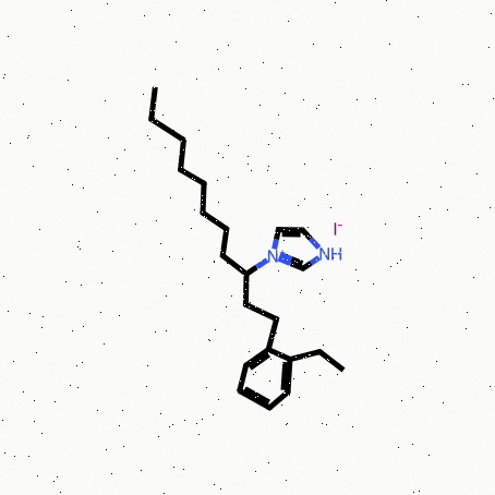 CCCCCCCCC(CCc1ccccc1CC)[n+]1cc[nH]c1.[I-]